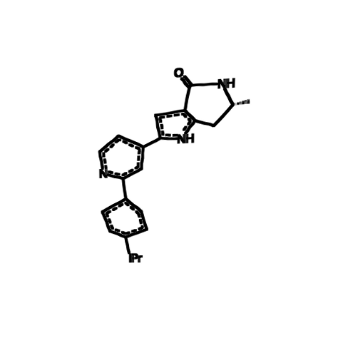 CC(C)c1ccc(-c2cc(-c3cc4c([nH]3)C[C@@H](C)NC4=O)ccn2)cc1